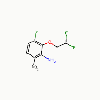 Nc1c([N+](=O)[O-])ccc(Br)c1OCC(F)F